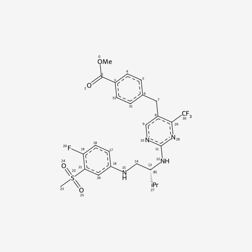 COC(=O)c1ccc(Cc2cnc(N[C@@H](CNc3ccc(F)c(S(C)(=O)=O)c3)C(C)C)nc2C(F)(F)F)cc1